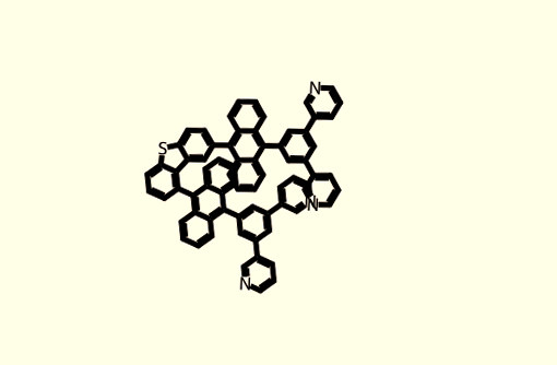 c1cncc(-c2cc(-c3cccnc3)cc(-c3c4ccccc4c(-c4ccc5sc6cccc(-c7c8ccccc8c(-c8cc(-c9cccnc9)cc(-c9cccnc9)c8)c8ccccc78)c6c5c4)c4ccccc34)c2)c1